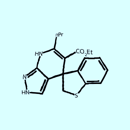 CCCC1=C(C(=O)OCC)C2(CSc3ccccc32)c2c[nH]nc2N1